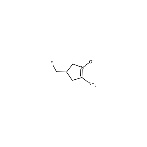 NC1=[N+]([O-])CC(CF)C1